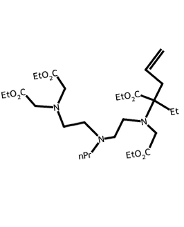 C=CCC(CC)(C(=O)OCC)N(CCN(CCC)CCN(CC(=O)OCC)CC(=O)OCC)CC(=O)OCC